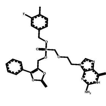 C=C1OC(COP(=O)(COCCn2cnc3c(=O)[nH]c(N)nc32)OCc2ccc(C)c(F)c2)=C(c2ccccc2)O1